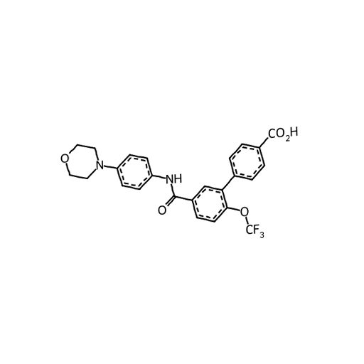 O=C(O)c1ccc(-c2cc(C(=O)Nc3ccc(N4CCOCC4)cc3)ccc2OC(F)(F)F)cc1